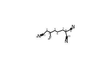 N#CCC(F)CCCC(C#N)C#N